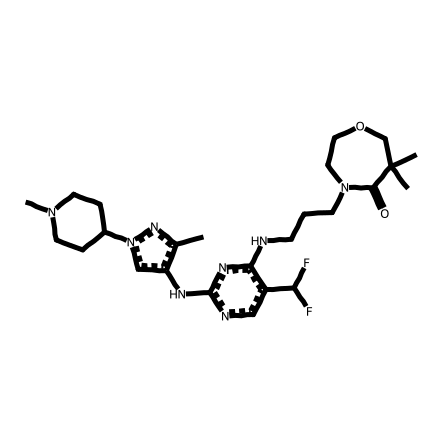 Cc1nn(C2CCN(C)CC2)cc1Nc1ncc(C(F)F)c(NCCCN2CCOCC(C)(C)C2=O)n1